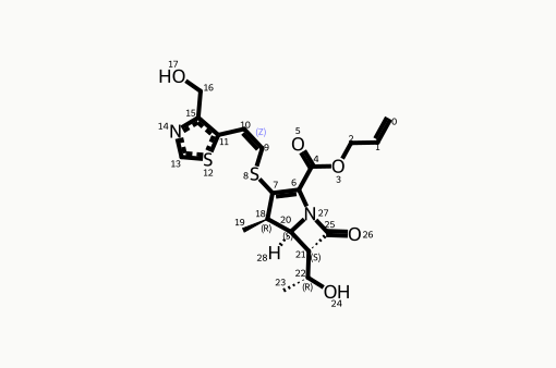 C=CCOC(=O)C1=C(S/C=C\c2scnc2CO)[C@H](C)[C@@H]2[C@@H]([C@@H](C)O)C(=O)N12